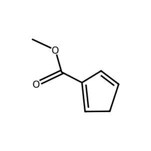 COC(=O)C1=CCC=C1